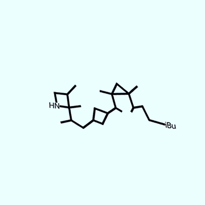 CCC(C)CCC(C)C1(C)CC1(C)C(C)C1CC(CC(C)C2(C)NCC2C)C1